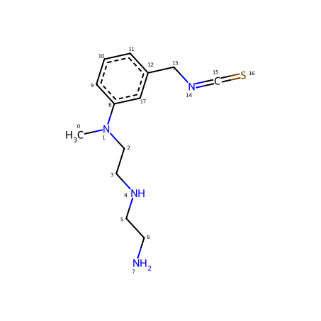 CN(CCNCCN)c1cccc([CH]N=C=S)c1